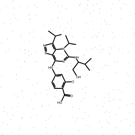 CC(C)c1nnc2c(Nc3ccc(C(=O)O)c(Cl)c3)nc(NC(CO)C(C)C)n(C(C)C)c1-2